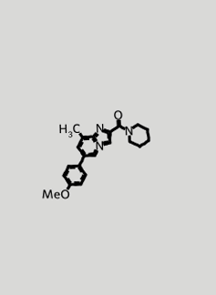 COc1ccc(-c2cc(C)c3nc(C(=O)N4CCCCC4)cn3c2)cc1